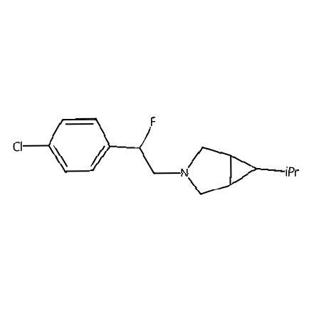 CC(C)C1C2CN(CC(F)c3ccc(Cl)cc3)CC21